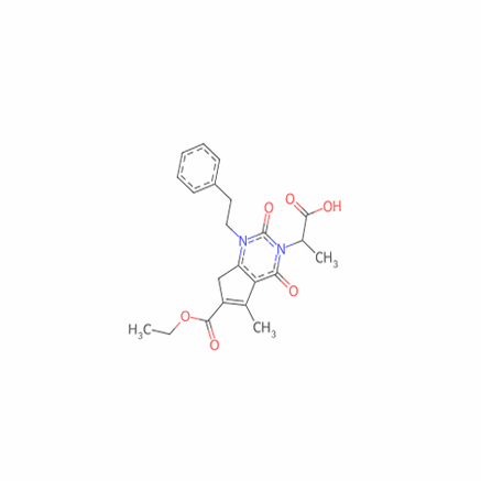 CCOC(=O)C1=C(C)c2c(n(CCc3ccccc3)c(=O)n(C(C)C(=O)O)c2=O)C1